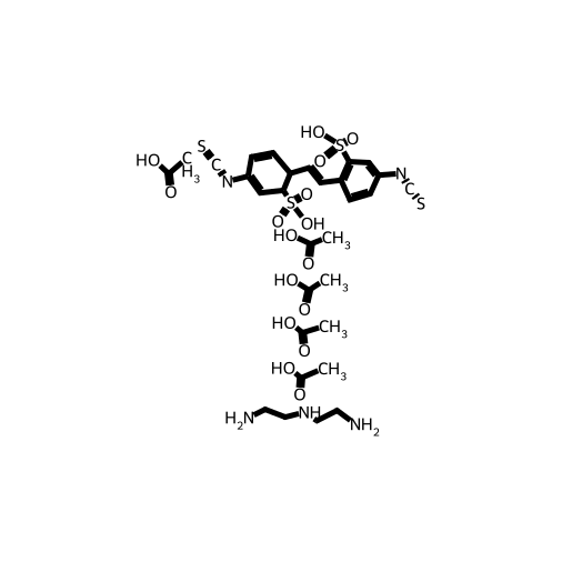 CC(=O)O.CC(=O)O.CC(=O)O.CC(=O)O.CC(=O)O.NCCNCCN.O=S(=O)(O)c1cc(N=C=S)ccc1C=CC1C=CC(N=C=S)=CC1S(=O)(=O)O